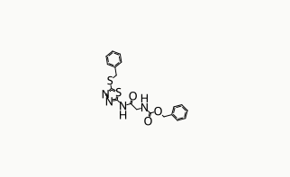 O=C(CNC(=O)OCc1ccccc1)Nc1nnc(SCc2ccccc2)s1